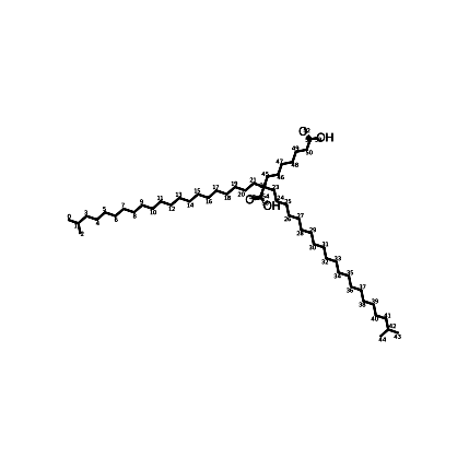 CC(C)CCCCCCCCCCCCCCCCCCCC(CCCCCCCCCCCCCCCCCCCC(C)C)(CCCCCCC(=O)O)C(=O)O